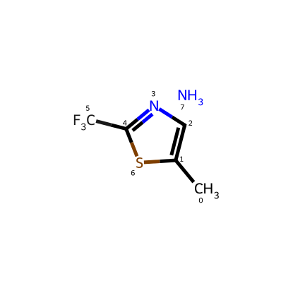 Cc1cnc(C(F)(F)F)s1.N